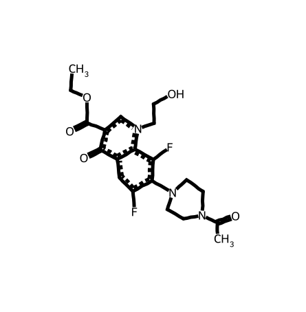 CCOC(=O)c1cn(CCO)c2c(F)c(N3CCN(C(C)=O)CC3)c(F)cc2c1=O